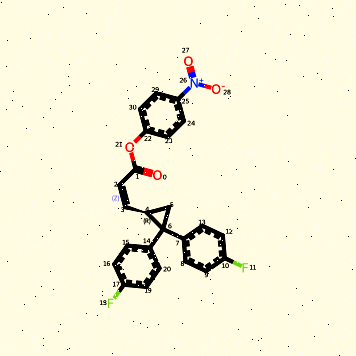 O=C(/C=C\[C@H]1CC1(c1ccc(F)cc1)c1ccc(F)cc1)Oc1ccc([N+](=O)[O-])cc1